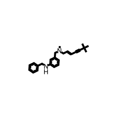 CN(C/C=C/C#CC(C)(C)C)Cc1cccc(NCc2ccccc2)c1